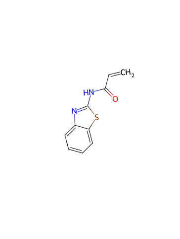 C=CC(=O)Nc1nc2ccccc2s1